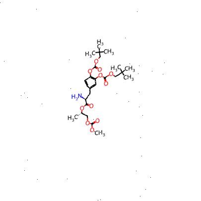 COC(=O)OC[C@H](C)OC(=O)[C@@H](N)Cc1ccc(OC(=O)OCC(C)(C)C)c(OC(=O)OCC(C)(C)C)c1